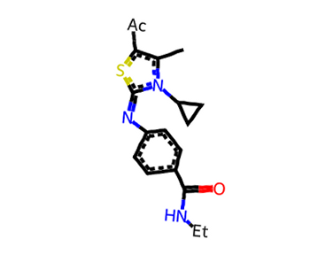 CCNC(=O)c1ccc(N=c2sc(C(C)=O)c(C)n2C2CC2)cc1